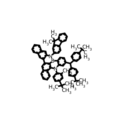 Cc1cc(C(C)(C)C)ccc1N1c2cc(C(c3ccc(C(C)(C)C)cc3)c3ccc(C(C)(C)C)cc3)ccc2B2c3c(cc4ccccc4c31)-c1cc3ccccc3cc1N2c1ccc2c(c1)C(C)(C)c1ccccc1-2